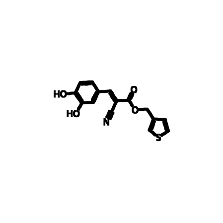 N#C/C(=C\c1ccc(O)c(O)c1)C(=O)OCc1ccsc1